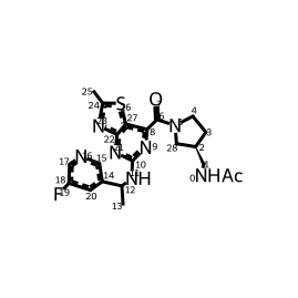 CC(=O)NC[C@@H]1CCN(C(=O)c2nc(NC(C)c3cncc(F)c3)nc3nc(C)sc23)C1